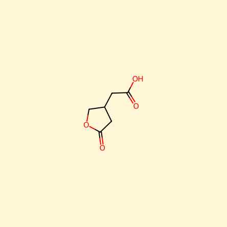 O=C(O)CC1COC(=O)C1